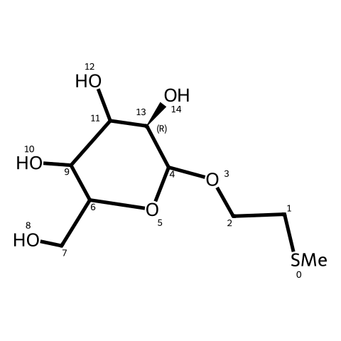 CSCCOC1OC(CO)C(O)C(O)[C@H]1O